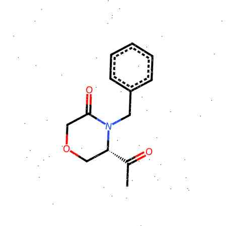 CC(=O)[C@@H]1COCC(=O)N1Cc1ccccc1